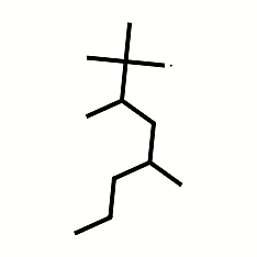 [CH2]C(C)(C)C(C)CC(C)CCC